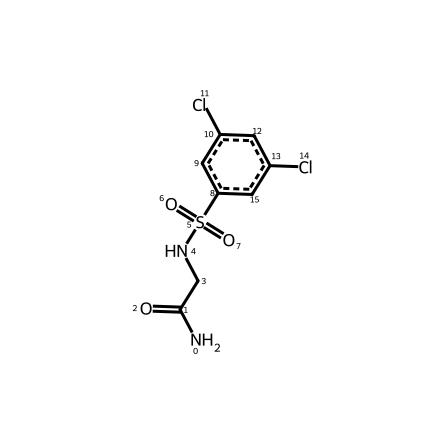 NC(=O)CNS(=O)(=O)c1cc(Cl)cc(Cl)c1